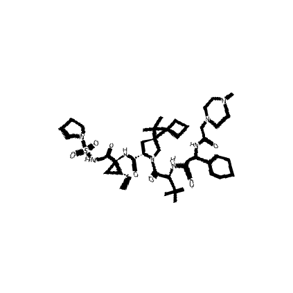 C=C[C@@H]1C[C@]1(NC(=O)[C@@H]1C[C@@]2(CN1C(=O)[C@@H](NC(=O)C(NC(=O)CN1CCN(C)CC1)C1CCCCC1)C(C)(C)C)C(C)(C)C21CCC1)C(=O)NS(=O)(=O)N1CCCC1